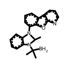 BC(C)(C)N1c2ccccc2N(c2cccc3c2oc2ncccc23)C1C